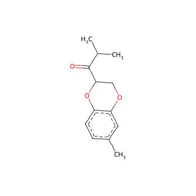 Cc1ccc2c(c1)OCC(C(=O)C(C)C)O2